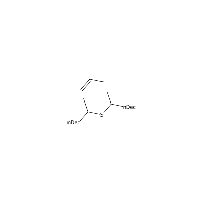 C=CC.CCCCCCCCCCC(C)SC(C)CCCCCCCCCC